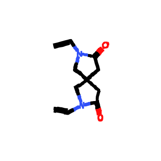 C=CN1CC2(CC1=O)CC(=O)N(C=C)C2